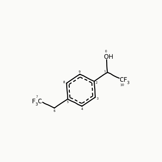 OC(c1ccc(CC(F)(F)F)cc1)C(F)(F)F